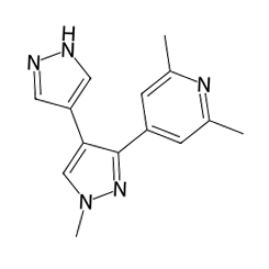 Cc1cc(-c2nn(C)cc2-c2cn[nH]c2)cc(C)n1